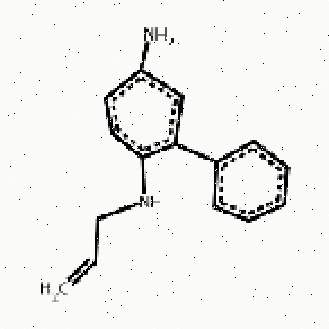 C=CCNc1ccc(N)cc1-c1ccccc1